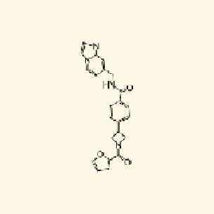 O=C(NCc1ccn2ccnc2c1)c1ccc(C2CN(C(=O)c3ccco3)C2)cc1